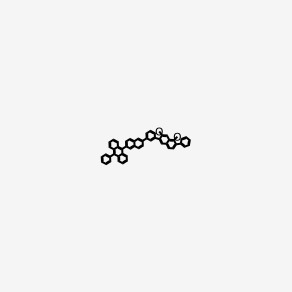 c1ccc(-c2c3ccccc3c(-c3ccc4cc(-c5ccc6oc7cc8c(ccc9c%10ccccc%10oc89)cc7c6c5)ccc4c3)c3ccccc23)cc1